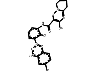 O=C(Nc1cccc(-n2o[nH]c3cc(Br)ccc3o2)c1Cl)C1=C(O)N=C2CCCCN2O1